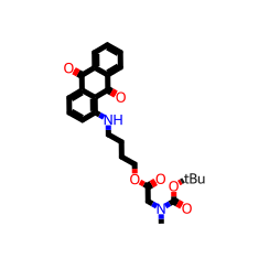 CN(CC(=O)OCCCCNc1cccc2c1C(=O)c1ccccc1C2=O)C(=O)OC(C)(C)C